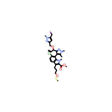 C=CC(OCc1cc(CI)n(C)n1)c1nn(C)c(C)c1-c1c(Cl)ccc2c(CCCOSC)c(C(=O)OC)n(C)c12